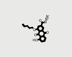 C=CCCCOc1cc(C(=O)N=[N+]=[N-])cc2c1C(=O)c1c(O)cccc1C2=O